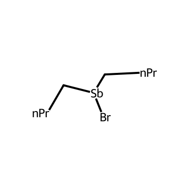 CCC[CH2][Sb]([Br])[CH2]CCC